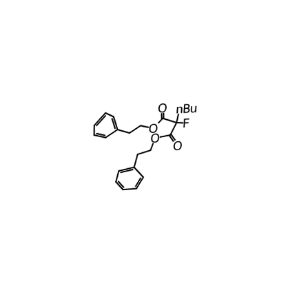 CCCCC(F)(C(=O)OCCc1ccccc1)C(=O)OCCc1ccccc1